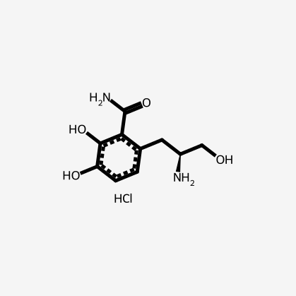 Cl.NC(=O)c1c(C[C@H](N)CO)ccc(O)c1O